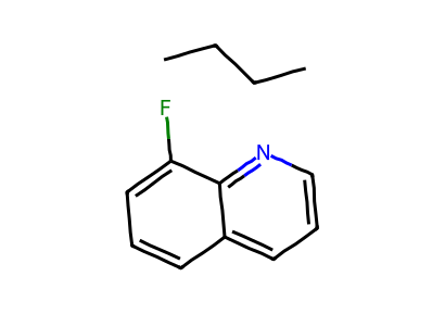 CCCC.Fc1cccc2cccnc12